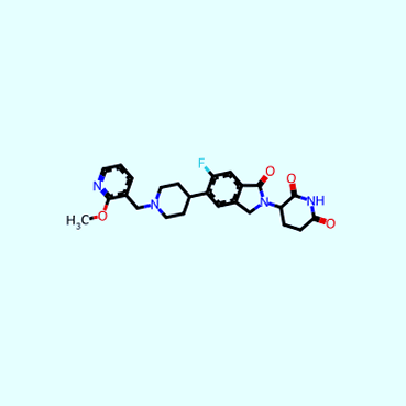 COc1ncccc1CN1CCC(c2cc3c(cc2F)C(=O)N(C2CCC(=O)NC2=O)C3)CC1